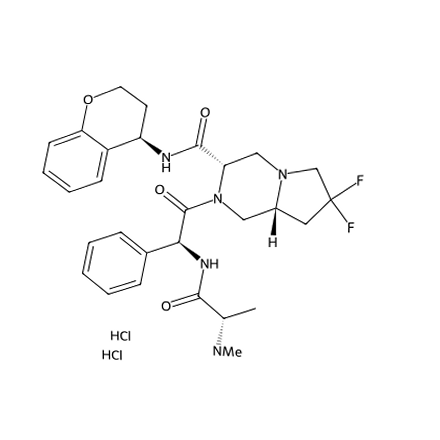 CN[C@@H](C)C(=O)N[C@H](C(=O)N1C[C@H]2CC(F)(F)CN2C[C@H]1C(=O)N[C@@H]1CCOc2ccccc21)c1ccccc1.Cl.Cl